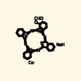 O=COc1cccc2c3nc4nc(nc5[nH]c(nc6nc(nc([nH]3)c12)-c1ccccc1-6)c1ccccc51)-c1ccccc1-4.[Co].[NaH]